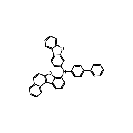 c1ccc(-c2ccc(N(c3ccc4c(c3)oc3ccccc34)c3cccc4c3oc3ccc5ccccc5c34)cc2)cc1